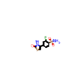 NS(=O)(=O)c1ccc(-c2csc(=O)[nH]2)cc1F